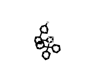 CCc1ccc(-c2ccccc2-c2nnnn2C(c2ccccc2)(c2ccccc2)c2ccccc2)cc1